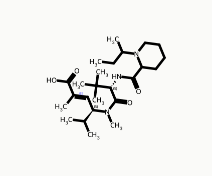 CCC(C)N1CCCCC1C(=O)N[C@H](C(=O)N(C)[C@H](/C=C(\C)C(=O)O)C(C)C)C(C)(C)C